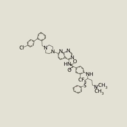 CN(C)CCC(CSc1ccccc1)Nc1ccc(S(=O)(=O)Nc2ncnc3nc(N4CCN(Cc5ccccc5-c5ccc(Cl)cc5)CC4)ccc23)cc1C(F)(F)F